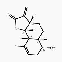 C=C1C(=O)O[C@@H]2[C@H]3C(C)=CC[C@@H](O)[C@]3(C)CC[C@@H]12